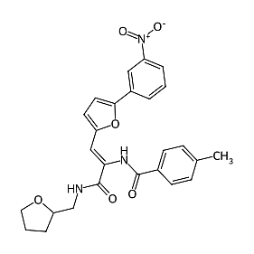 Cc1ccc(C(=O)N/C(=C\c2ccc(-c3cccc([N+](=O)[O-])c3)o2)C(=O)NCC2CCCO2)cc1